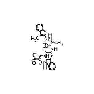 CC1=C(C(=O)N[C@H](C)C(=O)N[C@@H](Cc2c[nH]c3ccccc23)C(=O)NCC(=O)[C@@]2(C)CO2)Cc2ccccc21